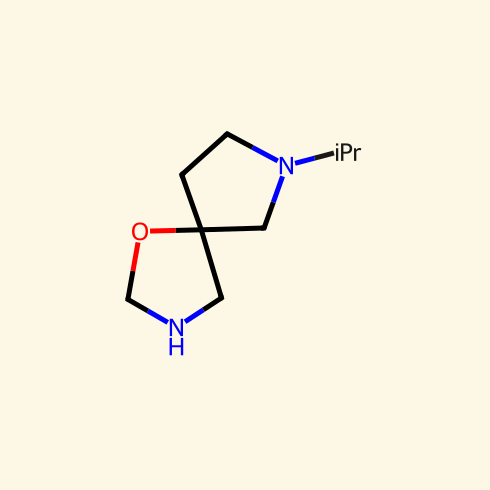 CC(C)N1CCC2(CNCO2)C1